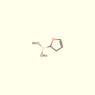 COB(OC)C1CC=CO1